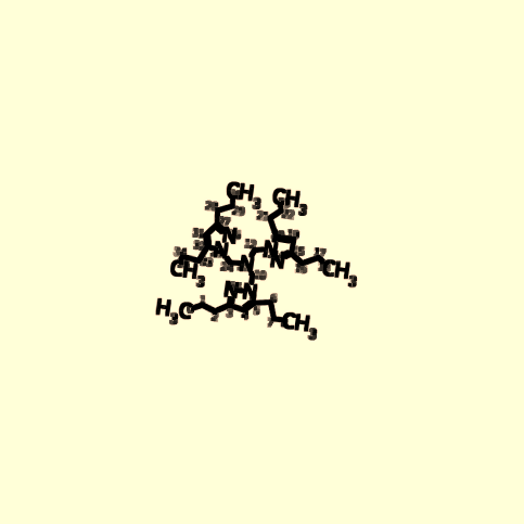 CCCc1cc(CCC)n(CN(Cn2nc(CCC)cc2CCC)Cn2nc(CCC)cc2CCC)n1